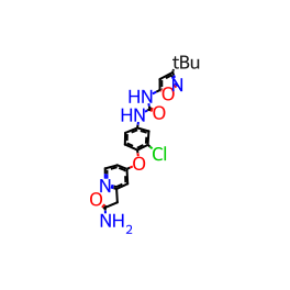 CC(C)(C)c1cc(NC(=O)Nc2ccc(Oc3ccnc(CC(N)=O)c3)c(Cl)c2)on1